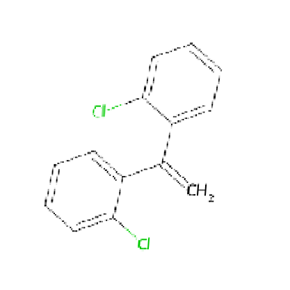 C=C(c1ccccc1Cl)c1ccccc1Cl